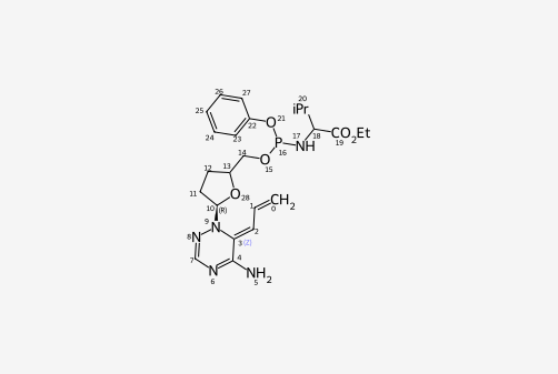 C=C/C=C1/C(N)=NC=NN1[C@H]1CCC(COP(NC(C(=O)OCC)C(C)C)Oc2ccccc2)O1